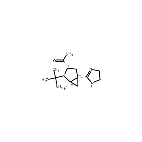 CC(=O)[C@@H]1C[C@@]2(C3=NCCN3)C[C@H]2N1C(C)(C)C